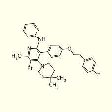 CCc1c(C)nc(Nc2ccccn2)c(-c2ccc(OCCc3ccc(F)cc3)cc2)c1N1CCC(C)(C)CC1